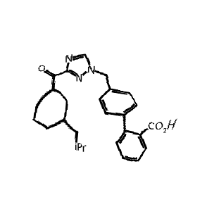 CC(C)CC1CCCC(C(=O)c2ncn(Cc3ccc(-c4ccccc4C(=O)O)cc3)n2)C1